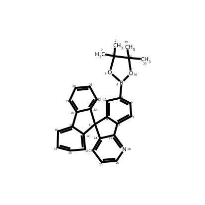 CC1(C)OB(c2ccc3c(c2)C2(c4ccccc4-c4ccccc42)c2cccnc2-3)OC1(C)C